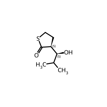 CC(C)[C@H](O)[C@@H]1CCSC1=O